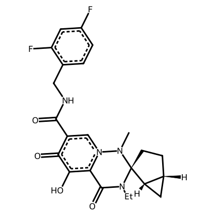 CCN1C(=O)c2c(O)c(=O)c(C(=O)NCc3ccc(F)cc3F)cn2N(C)[C@@]12CC[C@@H]1C[C@@H]12